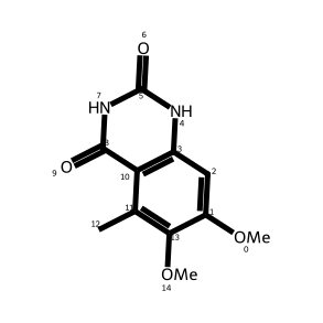 COc1cc2[nH]c(=O)[nH]c(=O)c2c(C)c1OC